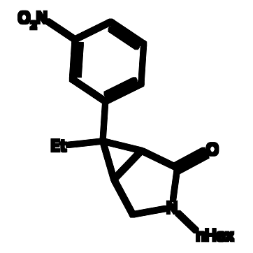 CCCCCCN1CC2C(C1=O)C2(CC)c1cccc([N+](=O)[O-])c1